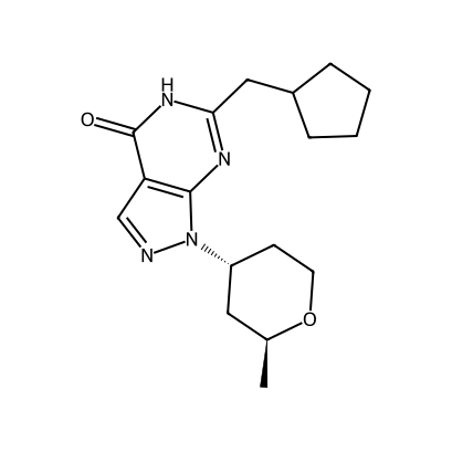 C[C@H]1C[C@H](n2ncc3c(=O)[nH]c(CC4CCCC4)nc32)CCO1